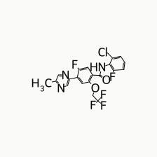 Cc1cnc(-c2cc(OCC(F)(F)F)c(C(=O)Nc3c(F)cccc3Cl)cc2F)cn1